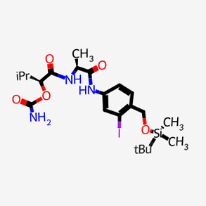 CC(C)[C@H](OC(N)=O)C(=O)N[C@@H](C)C(=O)Nc1ccc(CO[Si](C)(C)C(C)(C)C)c(I)c1